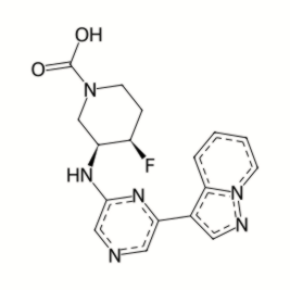 O=C(O)N1CC[C@@H](F)[C@@H](Nc2cncc(-c3cnn4ccccc34)n2)C1